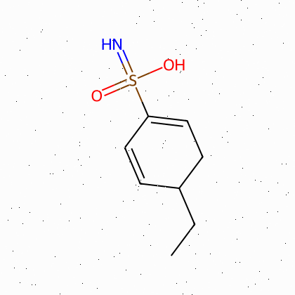 CCC1C=CC(S(=N)(=O)O)=CC1